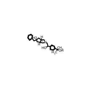 CC(C)(O)c1ccc(C(O)CN2C[C@@H]3C[C@@](O)(Cc4ccccc4)C[C@@H]3C2)cc1